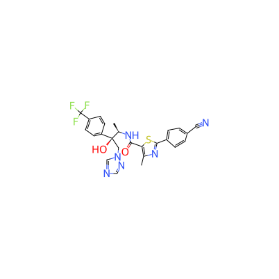 Cc1nc(-c2ccc(C#N)cc2)sc1C(=O)N[C@H](C)[C@](O)(Cn1cncn1)c1ccc(C(F)(F)F)cc1